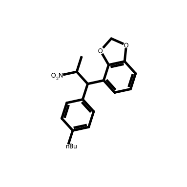 CCCCc1ccc(C(c2cccc3c2OCO3)C(C)[N+](=O)[O-])cc1